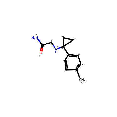 Cc1ccc(C2(NCC(N)=O)CC2)cc1